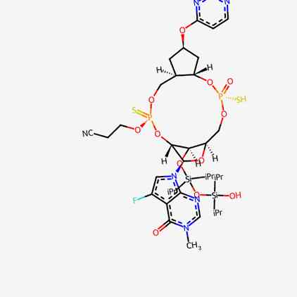 CC(C)[Si](O)(O[Si](O[C@H]1[C@H]2O[P@@](=S)(OCCC#N)OC[C@H]3C[C@@H](Oc4ccncn4)C[C@@H]3O[P@](=O)(S)OC[C@H]1O[C@H]2n1cc(F)c2c(=O)n(C)cnc21)(C(C)C)C(C)C)C(C)C